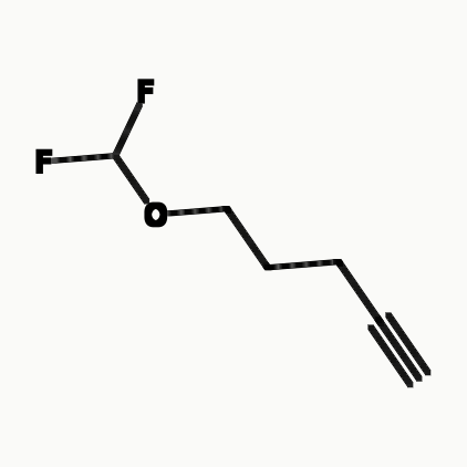 C#CCCCOC(F)F